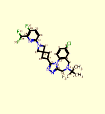 CC(C)(N1Cc2cc(Cl)ccc2-n2c(nnc2C2CC3(C2)CN(c2ccc(F)c(C(F)F)n2)C3)C1)C(F)(F)F